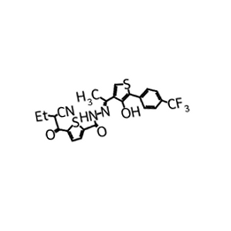 CCC(C#N)C(=O)c1ccc(C(=O)NN=C(C)c2csc(-c3ccc(C(F)(F)F)cc3)c2O)s1